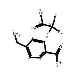 NCc1ccc(C(=O)O)cc1.O=C(O)C(F)(F)F